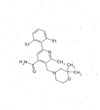 CCc1cccc(CC)c1-c1cc(C(N)=O)c(CN2CCOC(C)(C)C2)c(C)n1